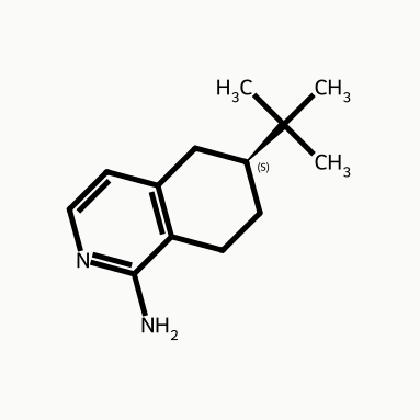 CC(C)(C)[C@H]1CCc2c(ccnc2N)C1